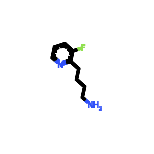 NCCCCc1ncccc1F